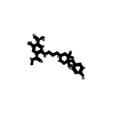 COC(=O)c1cc(Cl)c([N+](=O)[O-])cc1OCCCN1CCC(O)(Cc2ccc(F)cc2)C(C)(C)C1